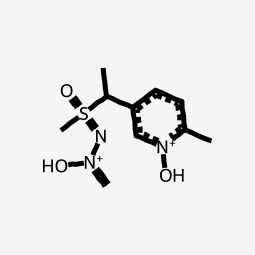 C=[N+](O)N=S(C)(=O)C(C)c1ccc(C)[n+](O)c1